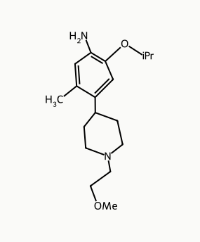 COCCN1CCC(c2cc(OC(C)C)c(N)cc2C)CC1